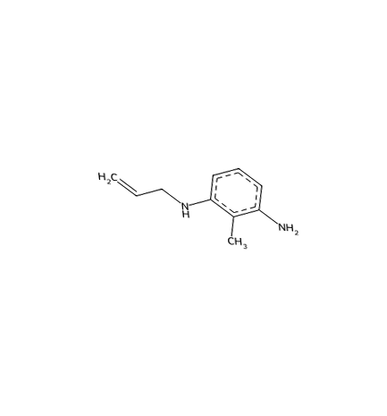 C=CCNc1cccc(N)c1C